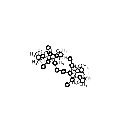 Cc1cc2c(cc1N1c3cc(-c4ccccc4)ccc3B3c4c(cc(-c5ccccc5)cc41)-c1cc4c(cc1N3c1ccc(-c3cccc(-c5ccc(-c6cc7c8c(c6)N(c6ccc(-c9ccccc9)cc6)c6cc9c(cc6B8N(c6ccc8c(c6)C(C)(C)CCC8(C)C)c6ccc(-c8ccccc8)cc6-7)C(C)(C)CCC9(C)C)cc5)c3)cc1)C(C)(C)CCC4(C)C)C(C)(C)CCC2(C)C